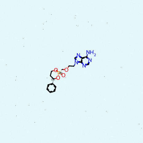 Nc1ncnc2c1ncn2CCOC[P@@]1(=O)OCC[C@@H](c2ccccc2)O1